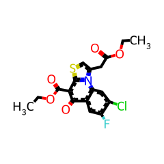 CCOC(=O)Cc1csc2c(C(=O)OCC)c(=O)c3cc(F)c(Cl)cc3n12